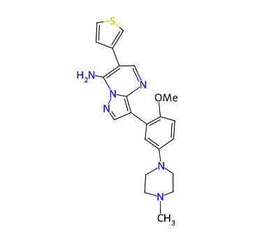 COc1ccc(N2CCN(C)CC2)cc1-c1cnn2c(N)c(-c3ccsc3)cnc12